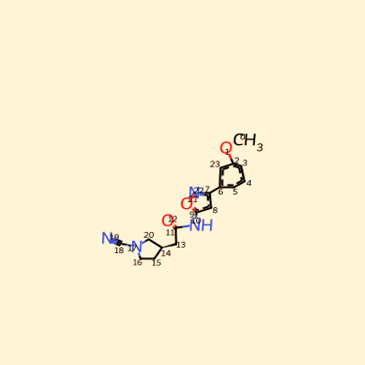 COc1cccc(-c2cc(NC(=O)C[C@H]3CCN(C#N)C3)on2)c1